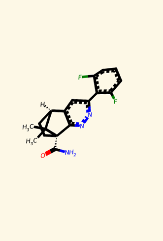 CC1(C)[C@H]2CC[C@]1(C(N)=O)c1nnc(-c3c(F)cccc3F)cc12